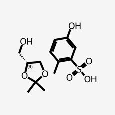 CC1(C)OC[C@@H](CO)O1.Cc1ccc(O)cc1S(=O)(=O)O